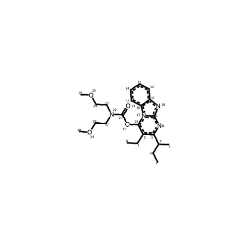 CCc1c(C(C)CC)nc2nc3ccccc3n2c1OC(=O)N(CCOC)CCOC